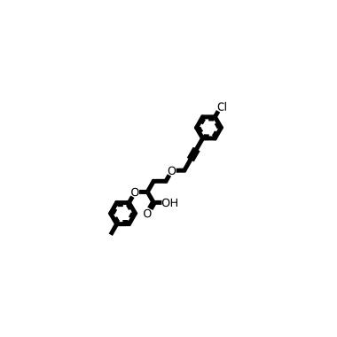 Cc1ccc(OC(CCOCC#Cc2ccc(Cl)cc2)C(=O)O)cc1